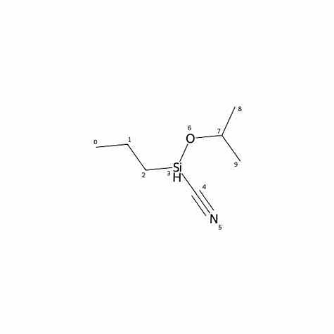 CCC[SiH](C#N)OC(C)C